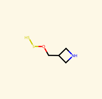 SSOCC1CNC1